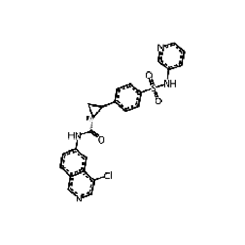 O=C(Nc1ccc2cncc(Cl)c2c1)[C@@H]1CC1c1ccc(S(=O)(=O)Nc2cccnc2)cc1